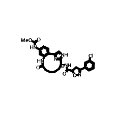 COC(=O)Nc1ccc2c(c1)NC(=O)CCCC[C@H](NC(=O)C1CC(c3cccc(Cl)c3)=NO1)c1nc-2c[nH]1